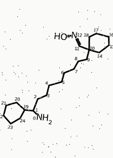 NC(CCCCCCCCC1(C=NO)CCCCC1)C1CCCCC1